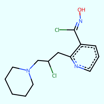 ON=C(Cl)c1cccnc1CC(Cl)CN1CCCCC1